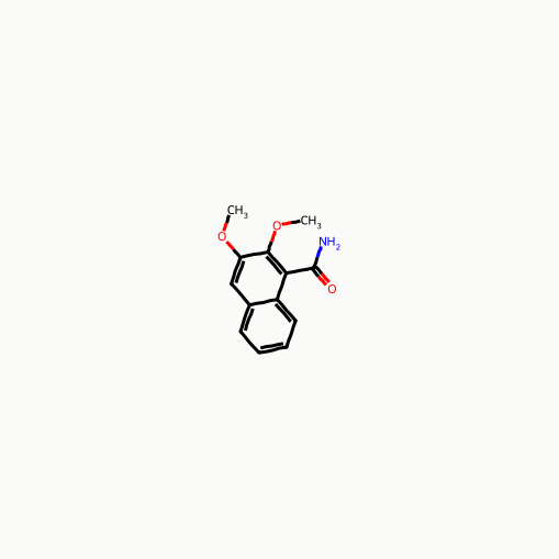 COc1cc2ccccc2c(C(N)=O)c1OC